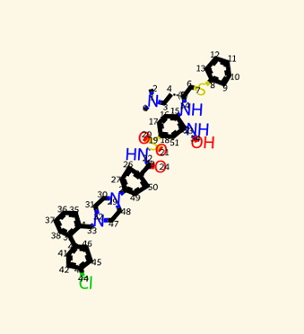 CN(C)CC[C@H](CSc1ccccc1)Nc1ccc(S(=O)(=O)NC(=O)c2ccc(N3CCN(Cc4ccccc4-c4ccc(Cl)cc4)CC3)cc2)cc1NO